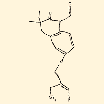 CC1(C)Cc2cc(OCC(=CF)CN)ccc2C(C=O)N1